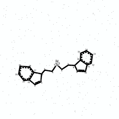 C1=CC(CC[SiH2]CCC2C=Cc3ccccc32)c2ccccc21